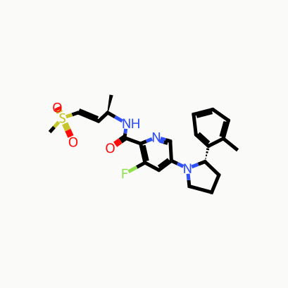 Cc1ccccc1[C@@H]1CCCN1c1cnc(C(=O)N[C@H](C)/C=C/S(C)(=O)=O)c(F)c1